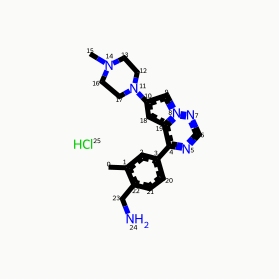 Cc1cc(-c2ncnn3cc(N4CCN(C)CC4)cc23)ccc1CN.Cl